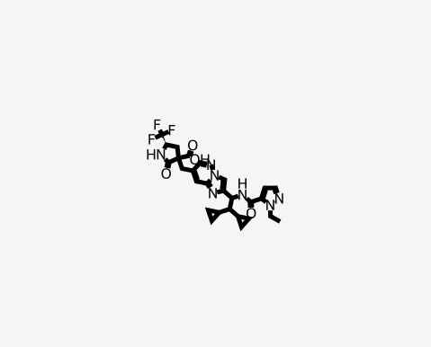 CCn1nccc1C(=O)NC(c1cn2ncc(CC3(C(=O)O)C[C@@H](C(F)(F)F)NC3=O)cc2n1)C(C1CC1)C1CC1